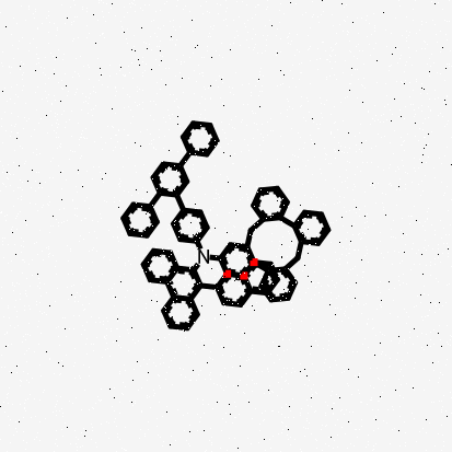 c1ccc(-c2ccc(-c3ccccc3)c(-c3ccc(N(c4ccc5c(c4)Cc4ccccc4-c4ccccc4Cc4ccccc4-5)c4c(-c5ccc6ccccc6c5)c5ccccc5c5ccccc45)cc3)c2)cc1